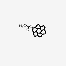 CCC(=O)Oc1cc2ccc3ccc4ccc5ccc6ccc1c1c6c5c4c3c21